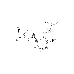 CC(C)NCc1c(F)cccc1OCC(F)(F)F